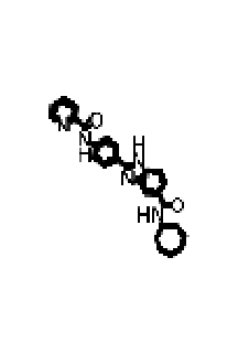 O=C(NC1CCCCCC1)c1ccc2[nH]c(-c3ccc(NC(=O)c4ccccn4)cc3)nc2c1